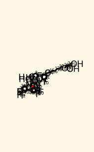 C[C@]12CCCN1N(Cc1c(F)cc(OCCCCCCOC[C@H](O)CO)cc1F)C(=O)C(C(=O)Nc1ccc(C(F)(F)F)cc1-c1ccc(C(F)(F)F)nc1)=C2O